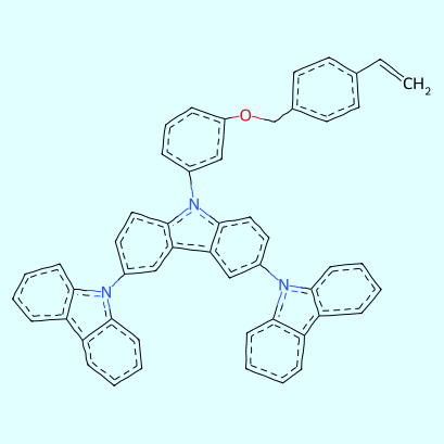 C=Cc1ccc(COc2cccc(-n3c4ccc(-n5c6ccccc6c6ccccc65)cc4c4cc(-n5c6ccccc6c6ccccc65)ccc43)c2)cc1